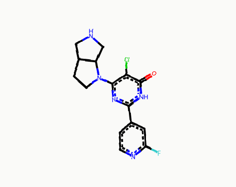 O=c1[nH]c(-c2ccnc(F)c2)nc(N2CCC3CNCC32)c1Cl